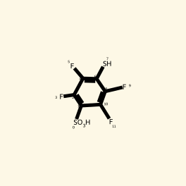 O=S(=O)(O)c1c(F)c(F)c(S)c(F)c1F